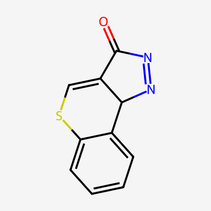 O=C1N=NC2C1=CSc1ccccc12